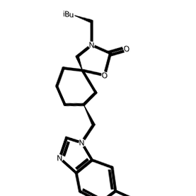 CC[C@H](C)CN1C[C@@]2(CCC[C@H](Cn3cnc4ccc(C#N)cc43)C2)OC1=O